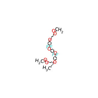 C=CC(=O)OC/C=C/COc1ccc(C(F)(F)Oc2ccc(OC(F)(F)c3ccc(OC(/C=C/COC(=O)C=C)CCCC)cc3)cc2)cc1